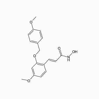 COc1ccc(COc2cc(OC)ccc2/C=C/C(=O)NO)cc1